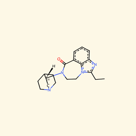 CCc1nc2cccc3c2n1CCN([C@@H]1CN2CCC1CC2)C3=O